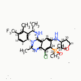 Cc1nc(N[C@H](C)c2cccc(C(F)(F)F)c2C)c2cc(NC3CCOC3)c(P(C)(C)=O)c(Cl)c2n1